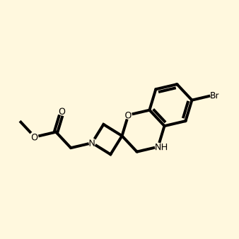 COC(=O)CN1CC2(CNc3cc(Br)ccc3O2)C1